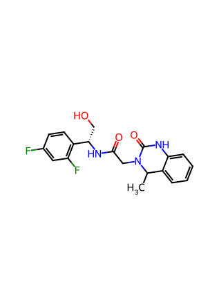 CC1c2ccccc2NC(=O)N1CC(=O)N[C@@H](CO)c1ccc(F)cc1F